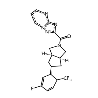 O=C(c1nc2ncccn2n1)N1C[C@H]2C[C@@H](C3C=C(F)C=CC3C(F)(F)F)C[C@H]2C1